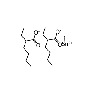 CCCCC(CC)C(=O)[O-].CCCCC(CC)C(=O)[O-].[CH3][Sn+2][CH3]